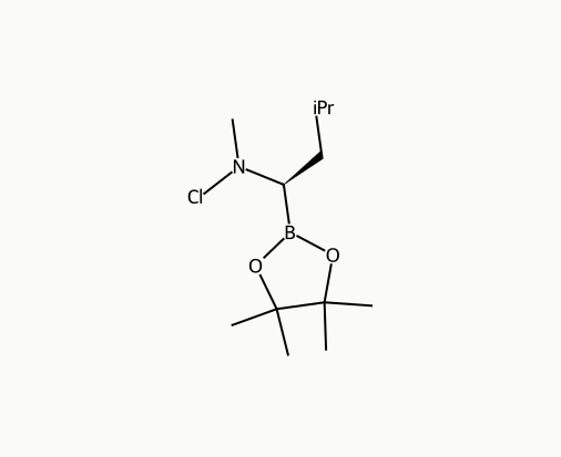 CC(C)C[C@@H](B1OC(C)(C)C(C)(C)O1)N(C)Cl